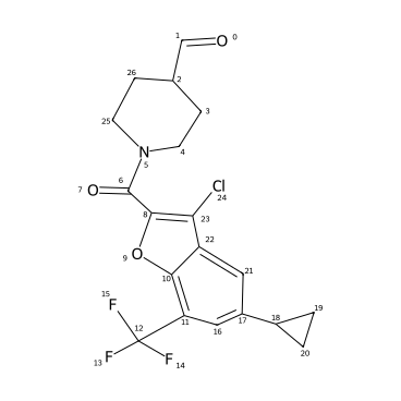 O=CC1CCN(C(=O)c2oc3c(C(F)(F)F)cc(C4CC4)cc3c2Cl)CC1